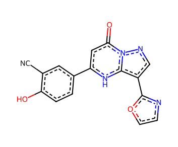 N#Cc1cc(-c2cc(=O)n3ncc(-c4ncco4)c3[nH]2)ccc1O